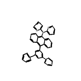 c1ccc(-c2cc(-c3ccccc3)cc(-c3c4ccccc4c(N(c4ccccn4)c4ccccn4)c4ccccc34)c2)cc1